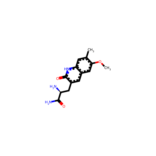 COc1cc2cc(C[C@H](N)C(N)=O)c(=O)[nH]c2cc1C